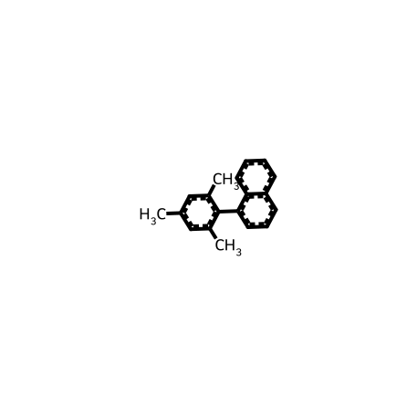 Cc1cc(C)c(-c2cccc3ccccc23)c(C)c1